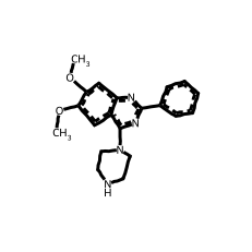 COc1cc2nc(-c3ccccc3)nc(N3CCNCC3)c2cc1OC